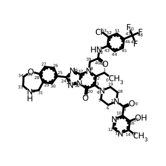 CCc1c(N2CCN(C(=O)c3ncnc(C)c3O)CC2)c(=O)n2nc(-c3ccc4c(c3)CNCCO4)nc2n1CC(=O)Nc1ccc(C(F)(F)F)cc1Cl